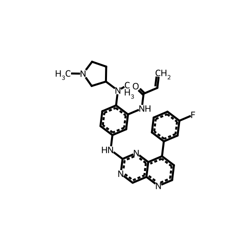 C=CC(=O)Nc1cc(Nc2ncc3nccc(-c4cccc(F)c4)c3n2)ccc1N(C)C1CCN(C)C1